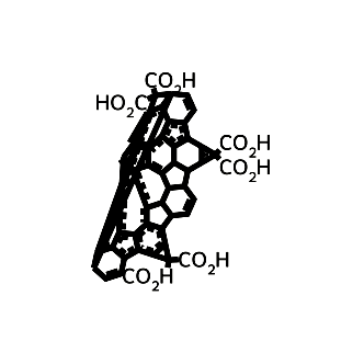 O=C(O)C1(C(=O)O)C2=C1C1C3C4=c5c6c7c8c(c9c(c%10c%11c%12c%13c%14c%15c%16c(c2c3c%16c5c%14c6c%12c%108)C=CC%152C(C(=O)O)(C(=O)O)C%132C=C%11)C9(C(=O)O)C(=O)O)C2C=CC1C4C72